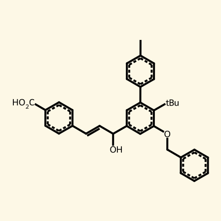 Cc1ccc(-c2cc(C(O)C=Cc3ccc(C(=O)O)cc3)cc(OCc3ccccc3)c2C(C)(C)C)cc1